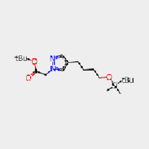 CC(C)(C)OC(=O)Cn1cc(CCCCO[Si](C)(C)C(C)(C)C)cn1